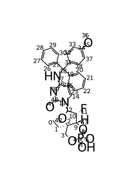 CC[C@@]12COP(=O)(O)O[C@H]1[C@@H](F)[C@H](n1ccc(NC(c3ccccc3)(c3ccccc3)c3ccc(OC)cc3)nc1=O)O2